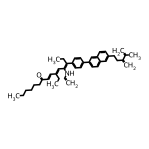 C=CNC(/C=C(/C=C/C(=O)CCCCCC)CC)=C(/CC)c1ccc(-c2ccc3cc(CCC(=C)C(=C)C)ccc3c2)cc1